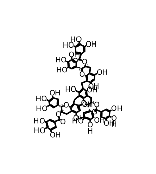 O=C(O[C@H]1Cc2c(O)cc(O)c(Cc3c(O)c(Cc4c(O)cc(O)c5c4O[C@@H](c4cc(O)c(O)c(O)c4)[C@@H](OC(=O)c4cc(O)c(O)c(O)c4)C5)c4c(c3O)C[C@H](OC(=O)c3cc(O)c(O)c(O)c3)[C@H](c3cc(O)c(O)c(O)c3)O4)c2O[C@H]1c1cc(O)c(O)c(O)c1)c1cc(O)c(O)c(O)c1